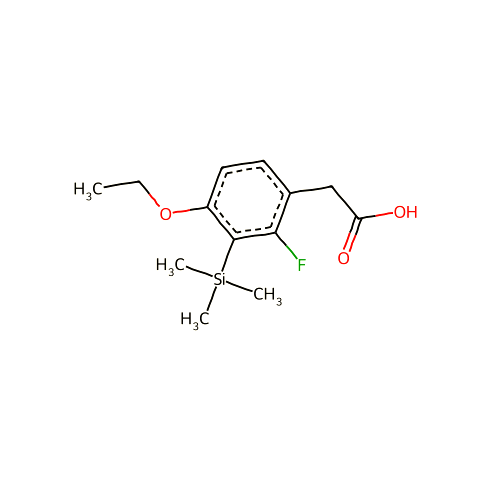 CCOc1ccc(CC(=O)O)c(F)c1[Si](C)(C)C